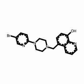 Oc1ccc(CN2CCN(c3ccc(Br)cn3)CC2)c2cccnc12